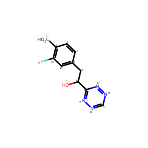 O=C(O)c1ccc(CC(O)c2nncnn2)cc1F